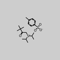 CC(C)[S+](CC(=O)C(C)(C)C)C(C)C.Cc1ccc(S(=O)(=O)[O-])cc1